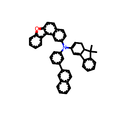 CC1(C)c2ccccc2C2=CC(N(c3cccc(-c4ccc5ccccc5c4)c3)c3ccc4ccc5oc6ccccc6c5c4c3)=CCC21